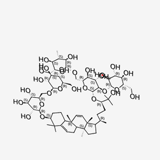 C[C@@H]1[C@@H](O)[C@H](OC[C@H]2O[C@@H](O[C@H](CC[C@@H](C)C3CC[C@@]4(C)C5CC=C6C(CC[C@H](O[C@@H]7O[C@H](CO[C@@H]8O[C@H](CO)[C@@H](O)[C@H](O)[C@H]8O)[C@@H](O)[C@H](O)[C@H]7O)C6(C)C)[C@]5(C)C=C[C@]34C)C(C)(C)O)[C@H](O[C@H]3O[C@@H](CO)[C@H](O)[C@@H](O)[C@@H]3O)[C@@H](O)[C@@H]2O)O[C@H](CO)[C@H]1O